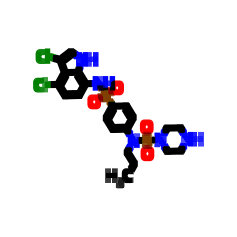 CCCN(c1ccc(S(=O)(=O)Nc2ccc(Cl)c3c(Cl)c[nH]c23)cc1)S(=O)(=O)N1CCNCC1